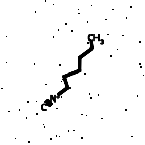 [C-]#[N+][CH]CCCCC